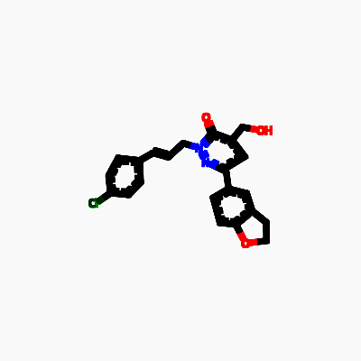 O=c1c(CO)cc(-c2ccc3c(c2)CCO3)nn1C/C=C/c1ccc(Cl)cc1